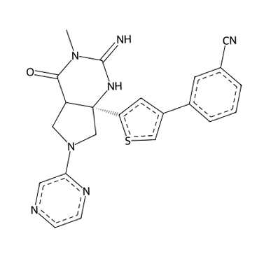 CN1C(=N)N[C@@]2(c3cc(-c4cccc(C#N)c4)cs3)CN(c3cnccn3)CC2C1=O